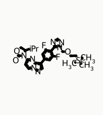 CC(C)C1COC(=O)N1c1ccn2ncc(-c3cc(F)c(-c4ncnn4COCC[Si](C)(C)C)c(F)c3)c2n1